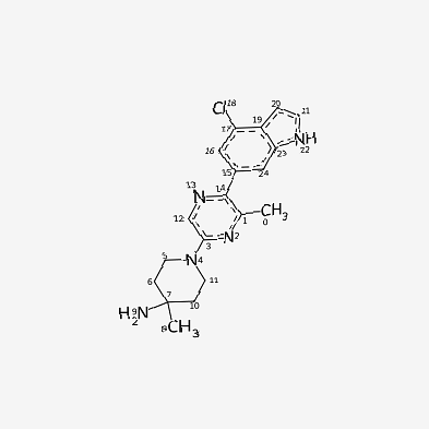 Cc1nc(N2CCC(C)(N)CC2)cnc1-c1cc(Cl)c2cc[nH]c2c1